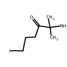 CC(C)(N)C(=O)CCCI